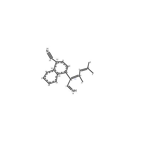 CC(C)=C/C(C)=C(/C=N)c1ccc(C#N)c2ccccc12